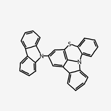 c1ccc2c(c1)Sc1cc(-n3c4ccccc4c4ccccc43)cc3c4ccccc4n-2c13